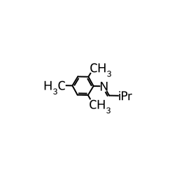 Cc1cc(C)c(N=CC(C)C)c(C)c1